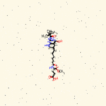 COC(=O)[C@H](CCC(=O)O)NC(=O)CCCCCCC1CNc2nc(NC(=O)C(C)(C)C)nc(O)c2C1